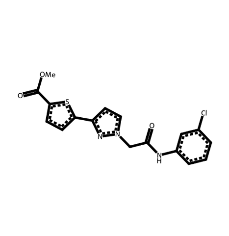 COC(=O)c1ccc(-c2ccn(CC(=O)Nc3cccc(Cl)c3)n2)s1